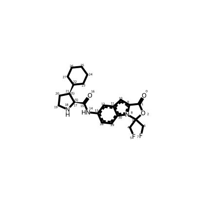 O=C1OC(CF)(CF)n2c1cc1cc(NC(=O)[C@H]3NCC[C@H]3C3CCCCC3)ccc12